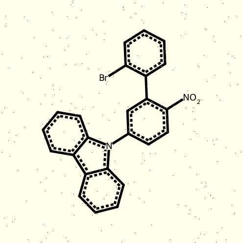 O=[N+]([O-])c1ccc(-n2c3ccccc3c3ccccc32)cc1-c1ccccc1Br